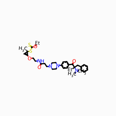 CCOC(=S)SC1(C)C=C1OCCNC(=O)CCN1CCN(c2ccc(C(=O)C(CC)(Cc3ccccc3)N(C)C)cc2)CC1